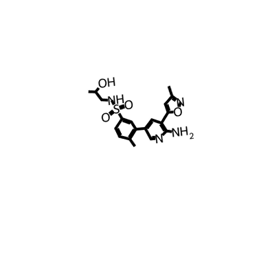 Cc1cc(-c2cc(-c3cc(S(=O)(=O)NCC(C)O)ccc3C)cnc2N)on1